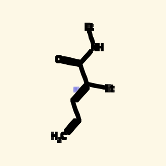 C=C/C=C(\CC)C(=O)NCC